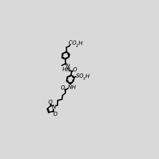 C/C(=N\NC(=O)c1ccc(NC(=O)CCCCCN2C(=O)C=CC2=O)cc1S(=O)(=O)O)c1ccc(CCC(=O)O)cc1